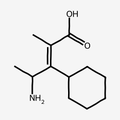 CC(C(=O)O)=C(C(C)N)C1CCCCC1